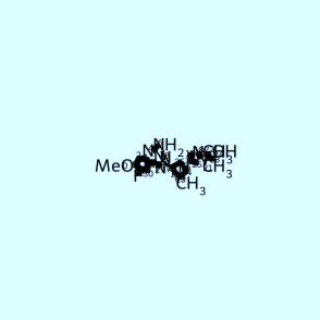 COc1cc2nc(N)n3nc([C@@H]4C[C@@H](C)CN(c5cnn(C(C)(C)CO)c5)C4)nc3c2cc1F